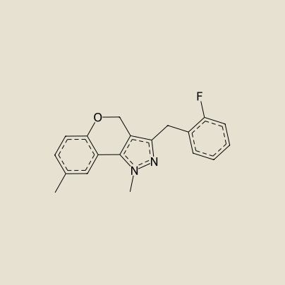 Cc1ccc2c(c1)-c1c(c(Cc3ccccc3F)nn1C)CO2